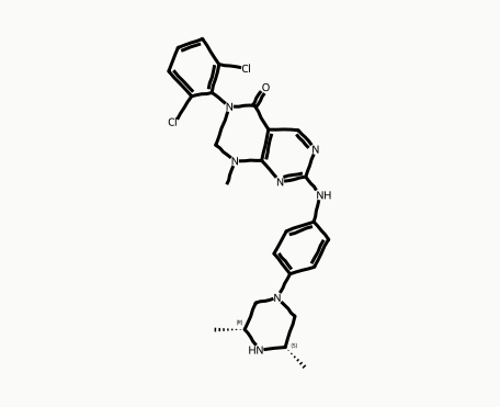 C[C@@H]1CN(c2ccc(Nc3ncc4c(n3)N(C)CN(c3c(Cl)cccc3Cl)C4=O)cc2)C[C@H](C)N1